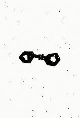 C1=CC2CC1C=[C]2[Rh][C]1=CC2C=CC1C2